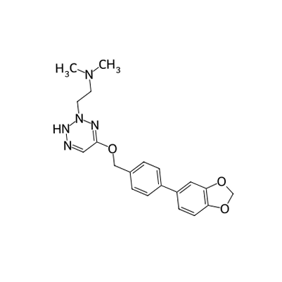 CN(C)CCN1N=C(OCc2ccc(-c3ccc4c(c3)OCO4)cc2)C=NN1